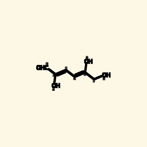 O=C/C(O)=C/C=C(\O)CO